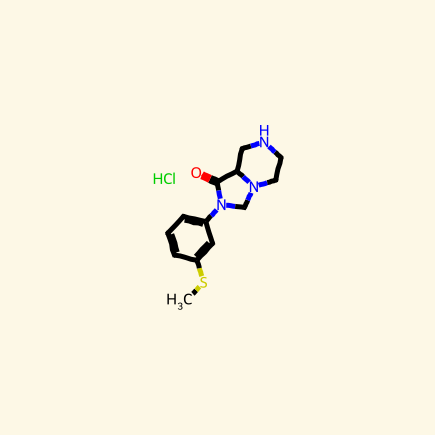 CSc1cccc(N2CN3CCNCC3C2=O)c1.Cl